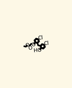 CCOC(=O)COc1ccc(Cl)cc1Cc1cc(Cl)ccc1O